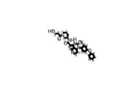 O=C(NC1CCCN(C(=O)CCO)C1)c1sc2nccc3c2c1NC(=O)N3c1ccc(Oc2ccccc2)cc1F